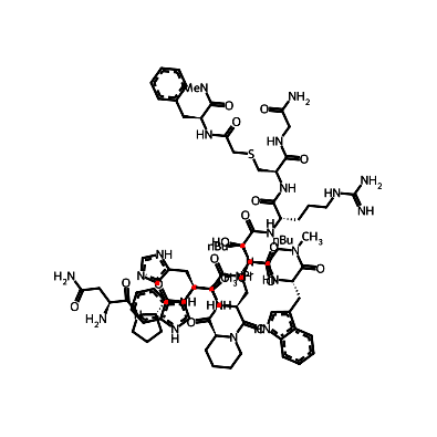 CCCC[C@@H](C(=O)N(C)[C@@H](CCCC)C(=O)N[C@@H](CCCNC(=N)N)C(=O)N[C@@H](CSCC(=O)N[C@@H](Cc1ccccc1)C(=O)NC)C(=O)NCC(N)=O)N(C)C(=O)[C@H](Cc1c[nH]c2ccccc12)NC(=O)[C@H](CO)NC(=O)[C@H](Cc1c[nH]c2ccccc12)NC(=O)[C@@H]1CCCCN1C(=O)[C@H](CC(C)C)NC(=O)[C@H](Cc1cnc[nH]1)NC(=O)[C@@H]1CCCN1C(=O)[C@@H](N)CC(N)=O